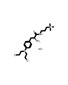 C[N+](C)(C)CCCNC(=O)[C@@H](N)Cc1ccc(N(CCCl)CCCl)cc1.Cl